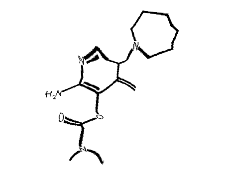 C=C1C(OC(=O)N(C)C)=C(N)N=CC1N1CCCCCC1